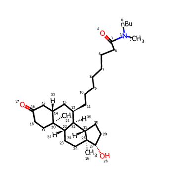 CCCCN(C)C(=O)CCCCCCC[C@@H]1C[C@H]2CC(=O)CC[C@]2(C)[C@H]2CC[C@]3(C)[C@@H](O)CC[C@H]3[C@H]12